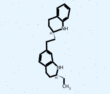 CC[C@@H]1CCc2ccc(CC[C@@H]3CCc4ccccc4N3)cc2N1